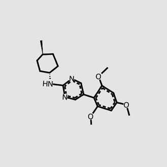 COc1cc(OC)c(-c2cnc(N[C@H]3CC[C@H](C)CC3)nc2)c(OC)c1